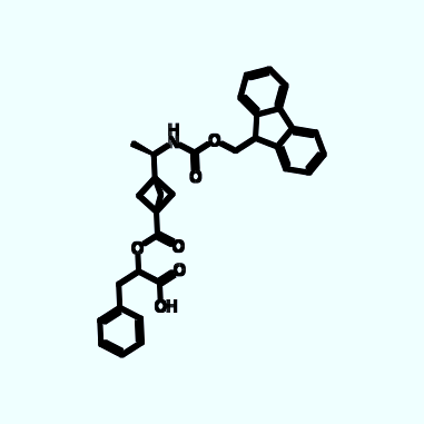 C[C@@H](NC(=O)OCC1c2ccccc2-c2ccccc21)C12CC(C(=O)OC(Cc3ccccc3)C(=O)O)(C1)C2